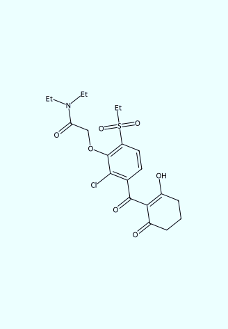 CCN(CC)C(=O)COc1c(S(=O)(=O)CC)ccc(C(=O)C2=C(O)CCCC2=O)c1Cl